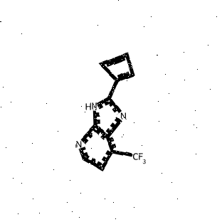 FC(F)(F)c1ccnc2[nH]c(C3=CC=C3)nc12